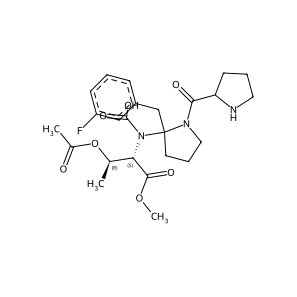 COC(=O)[C@H]([C@@H](C)OC(C)=O)N(C(=O)O)C1(Cc2cccc(F)c2)CCCN1C(=O)C1CCCN1